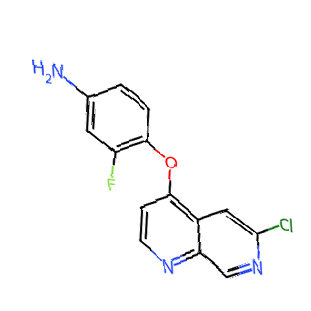 Nc1ccc(Oc2ccnc3cnc(Cl)cc23)c(F)c1